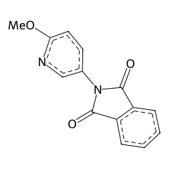 COc1ccc(N2C(=O)c3ccccc3C2=O)cn1